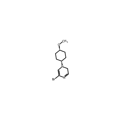 CO[C@H]1CC[C@@H](N2C=C(Br)N=CC2)CC1